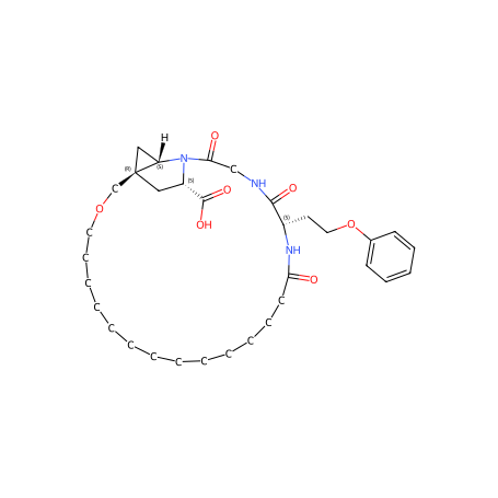 O=C1CCCCCCCCCCCCCOC[C@@]23C[C@@H]2N(C(=O)CNC(=O)[C@H](CCOc2ccccc2)N1)[C@H](C(=O)O)C3